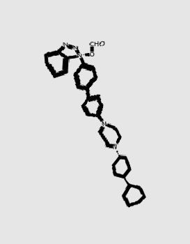 O=CO[N+]1(c2ccc(-c3ccc(N4CCN([C@H]5CC[C@H](C6CCCCC6)CC5)CC4)cc3)cc2)N=Nc2ccccc21